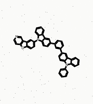 c1ccc(-n2c3ccccc3c3cc(-c4cccc(-c5ccc6c(c5)c5ccccc5n6-c5ccc6oc7ccncc7c6c5)c4)ccc32)cc1